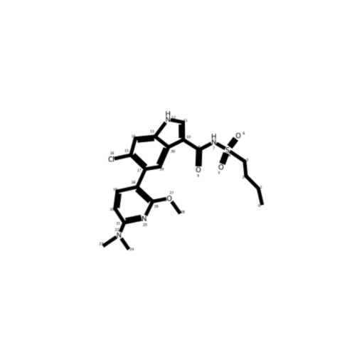 CCCCS(=O)(=O)NC(=O)c1c[nH]c2cc(Cl)c(-c3ccc(N(C)C)nc3OC)cc12